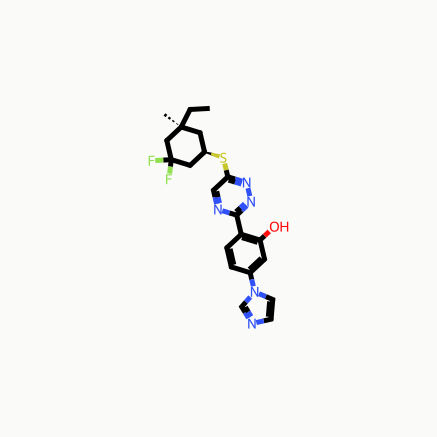 CC[C@@]1(C)C[C@@H](Sc2cnc(-c3ccc(-n4ccnc4)cc3O)nn2)CC(F)(F)C1